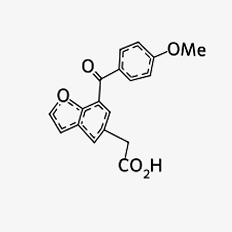 COc1ccc(C(=O)c2cc(CC(=O)O)cc3ccoc23)cc1